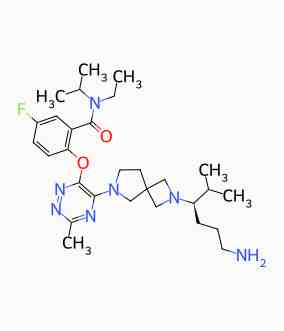 CCN(C(=O)c1cc(F)ccc1Oc1nnc(C)nc1N1CCC2(C1)CN([C@H](CCCN)C(C)C)C2)C(C)C